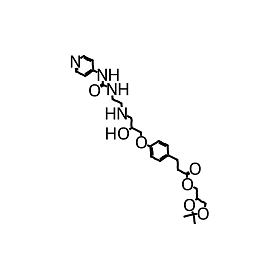 CC1(C)OCC(COC(=O)CCc2ccc(OCC(O)CNCCNC(=O)Nc3ccncc3)cc2)O1